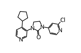 O=C1N(c2ccnc(Cl)c2)CCN1c1cnccc1C1CCCC1